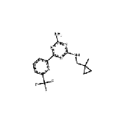 CC1(CNc2nc(N)nc(-c3cccc(C(F)(F)F)n3)n2)CC1